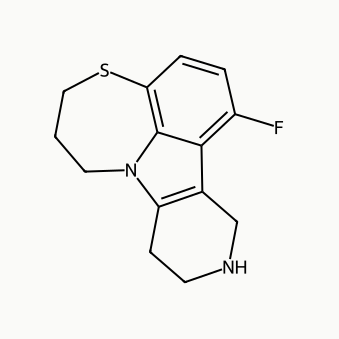 Fc1ccc2c3c1c1c(n3CCCS2)CCNC1